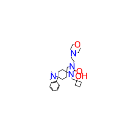 CN(C)C1(c2ccccc2)CCC2(CC1)CN(CCN1CCOCC1)C(=O)N2CC1(O)CCC1